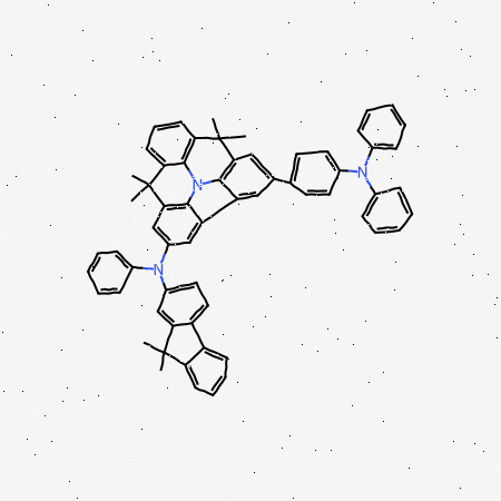 CC1(C)c2ccccc2-c2ccc(N(c3ccccc3)c3cc4c5c(c3)c3cc(-c6ccc(N(c7ccccc7)c7ccccc7)cc6)cc6c3n5-c3c(cccc3C4(C)C)C6(C)C)cc21